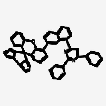 c1ccc(-c2cc(-c3cccc4ccc(-c5cccc6c5Oc5ccccc5C65c6ccccc6-c6ccccc65)cc34)nc(-c3ccccc3)n2)cc1